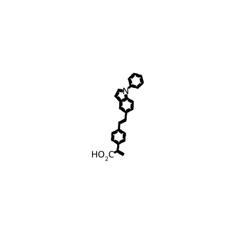 C=C(C(=O)O)c1ccc(C=Cc2ccc3c(ccn3-c3ccccc3)c2)cc1